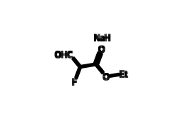 CCOC(=O)C(F)C=O.[NaH]